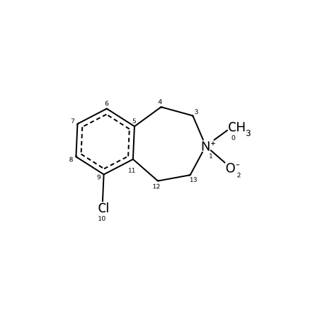 C[N+]1([O-])CCc2cccc(Cl)c2CC1